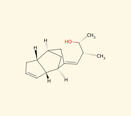 C[C@H](/C=C1\C[C@H]2C[C@@H]1[C@@H]1C=CC[C@H]21)[C@@H](C)O